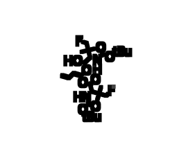 C=C/C=C(\OC(=O)[C@@H](NC(=O)OC(C)(C)C)C(C)(C)CF)OC(O)[C@@H](NC(=O)OC(C)(C)C)C(C)(C)CF